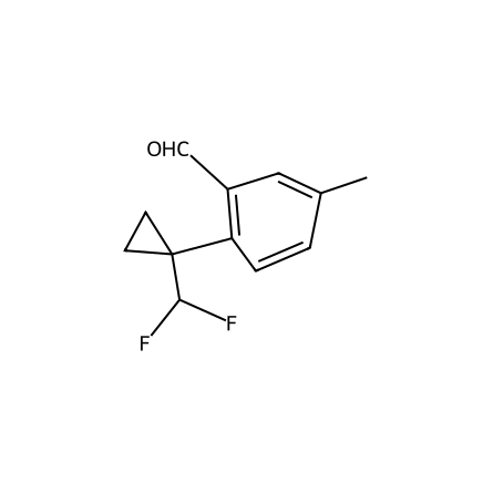 Cc1ccc(C2(C(F)F)CC2)c(C=O)c1